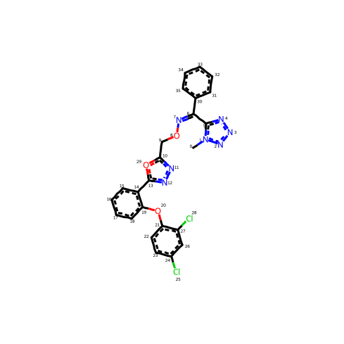 Cn1nnnc1/C(=N\OCc1nnc(-c2ccccc2Oc2ccc(Cl)cc2Cl)o1)c1ccccc1